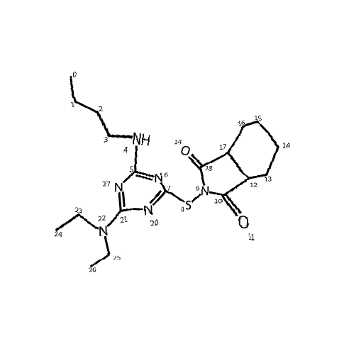 CCCCNc1nc(SN2C(=O)C3CCCCC3C2=O)nc(N(CC)CC)n1